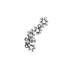 O=C(Nc1noc2ccccc12)N1CCN(Cc2cccc(OCc3ccccc3)c2)CC1